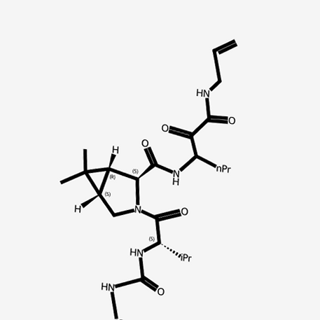 C=CCNC(=O)C(=O)C(CCC)NC(=O)[C@@H]1[C@@H]2[C@H](CN1C(=O)[C@@H](NC(=O)NC(C)(C)C)C(C)C)C2(C)C